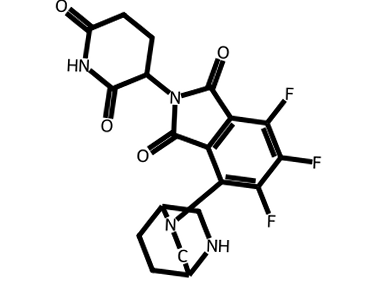 O=C1CCC(N2C(=O)c3c(F)c(F)c(F)c(N4CC5CCC4CN5)c3C2=O)C(=O)N1